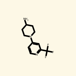 NC1CCN(c2ccnc(C(F)(F)F)c2)CC1